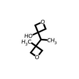 C[C](C1(C)COC1)C1(O)COC1